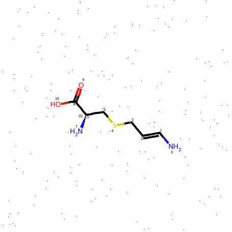 NC=CCSC[C@@H](N)C(=O)O